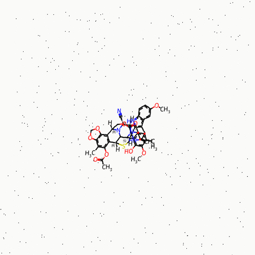 C=CCN1[C@H]2c3c(cc(C)c(OC)c3O)C[C@H]1[C@H](C#N)N1C2[C@@H]2SC[C@]3(NCCc4c3[nH]c3ccc(OC)cc43)C(=O)OC[C@H]1c1c3c(c(C)c(OC(C)=O)c12)OCO3